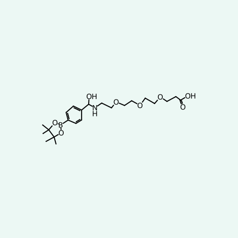 CC1(C)OB(c2ccc(C(O)NCCOCCOCCOCCC(=O)O)cc2)OC1(C)C